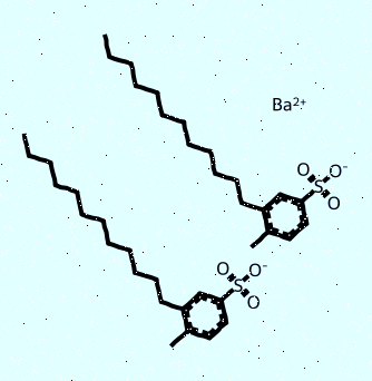 CCCCCCCCCCCCc1cc(S(=O)(=O)[O-])ccc1C.CCCCCCCCCCCCc1cc(S(=O)(=O)[O-])ccc1C.[Ba+2]